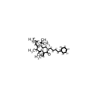 C/C=C(\N=C(/C)C(C)CCCC)C(=O)N(CCCCc1ccccc1)CCNC(C)(C)C